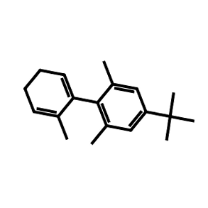 CC1=CCCC=C1c1c(C)cc(C(C)(C)C)cc1C